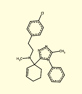 Cc1nnc(C2(N(C)CCc3ccc(Cl)cc3)C=CCCC2)n1-c1ccccc1